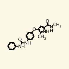 CNC(=O)c1cc(Oc2ccc(NC(=O)Nc3ccccc3)cc2)c(C)[nH]1